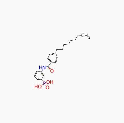 CCCCCCCCc1ccc(C(=O)Nc2cccc(P(=O)(O)O)c2)cc1